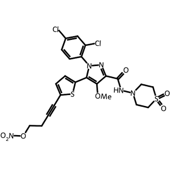 COc1c(C(=O)NN2CCS(=O)(=O)CC2)nn(-c2ccc(Cl)cc2Cl)c1-c1ccc(C#CCCO[N+](=O)[O-])s1